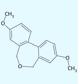 COc1ccc2c(c1)COCc1cc(OC)ccc1-2